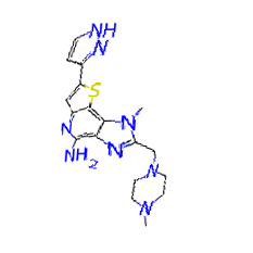 CN1CCN(Cc2nc3c(N)nc4cc(-c5cc[nH]n5)sc4c3n2C)CC1